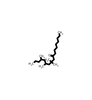 CCCCCCCCC(=O)CC(C)(C)CC(C)CC(C)CCC